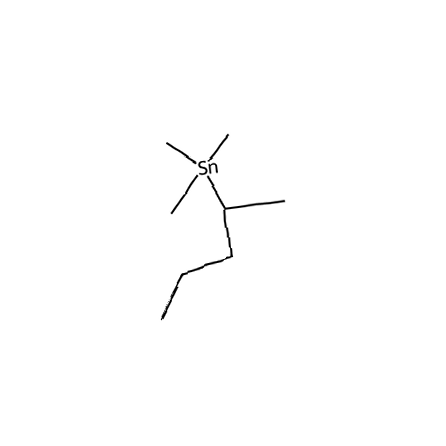 CCC[CH](C)[Sn]([CH3])([CH3])[CH3]